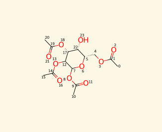 CC(=O)OC[C@@H]1OC(OC(C)=O)C(OC(C)=O)[C@H](OC(C)=O)[C@@H]1O